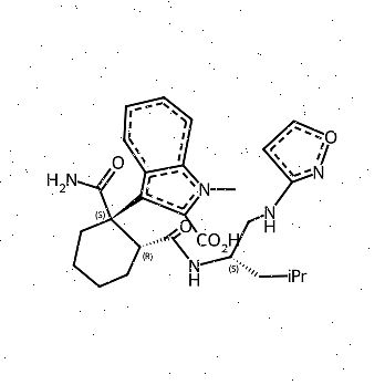 CC(C)C[C@@H](CNc1ccon1)NC(=O)[C@@H]1CCCC[C@@]1(C(N)=O)c1c(C(=O)O)n(C)c2ccccc12